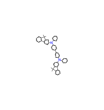 CC1(C)c2ccccc2-c2cc(N(c3ccccc3)c3ccc(-c4ccc(N(c5ccccc5)c5ccc6c(c5)C(C)(C)c5ccccc5-6)cc4)cc3)ccc21